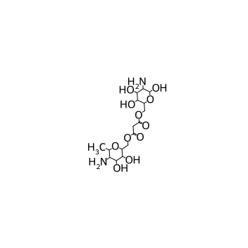 CC1OC(COC(=O)CC(=O)OCC2OC(O)C(N)C(O)C2O)C(O)C(O)C1N